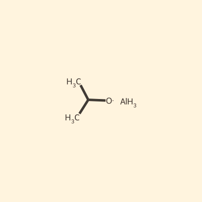 CC(C)[O].[AlH3]